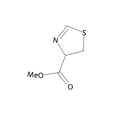 COC(=O)C1CS[C]=N1